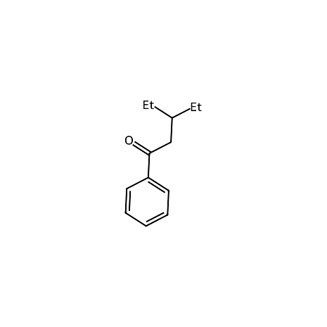 CCC(CC)CC(=O)c1ccccc1